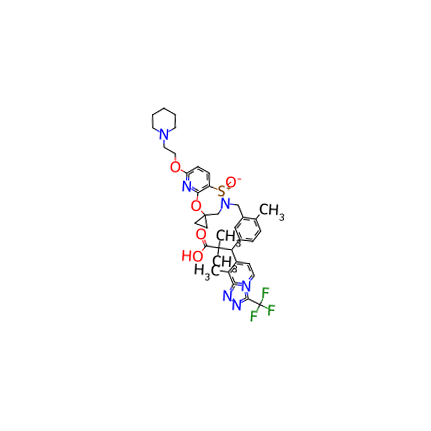 Cc1ccc(C(c2ccn3c(C(F)(F)F)nnc3c2C)C(C)(C)C(=O)O)cc1CN1CC2(CC2)Oc2nc(OCCN3CCCCC3)ccc2[S+]1[O-]